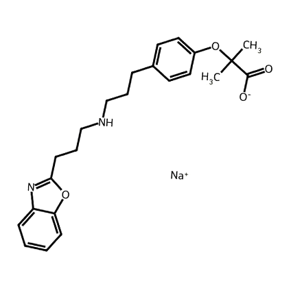 CC(C)(Oc1ccc(CCCNCCCc2nc3ccccc3o2)cc1)C(=O)[O-].[Na+]